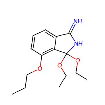 CCCOc1cccc2c1C(OCC)(OCC)NC2=N